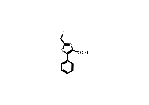 CCOC(=O)c1nc(CF)sc1-c1ccccc1